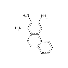 Nc1cc2c(ccc3ccccc32)c(N)c1N